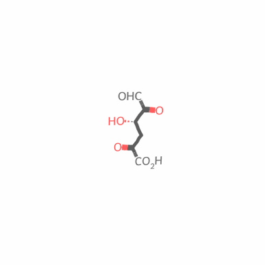 O=CC(=O)[C@@H](O)CC(=O)C(=O)O